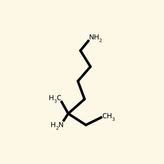 CCC(C)(N)CCCCN